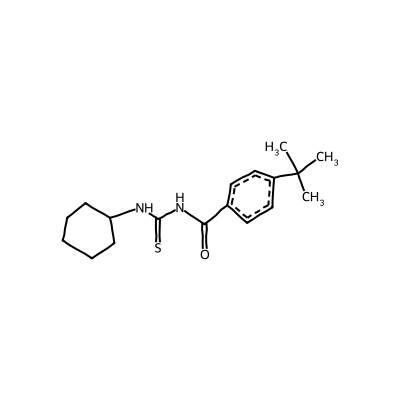 CC(C)(C)c1ccc(C(=O)NC(=S)NC2CCCCC2)cc1